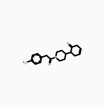 O=C1CC=CCC1C1CCN(C(=O)Cc2ccc(C(F)(F)F)cc2)CC1